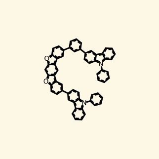 c1ccc(-n2c3ccccc3c3cc(-c4cccc(-c5ccc6oc7cc8oc9ccc(-c%10ccc%11c(c%10)c%10ccccc%10n%11-c%10ccccc%10)cc9c8cc7c6c5)c4)ccc32)cc1